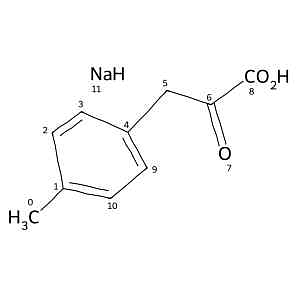 Cc1ccc(CC(=O)C(=O)O)cc1.[NaH]